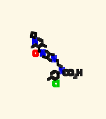 C1CCC1.Cc1ccc(N(CCCN2CC3CN(C(=O)c4c(C)ccnc4C)CC3C2)C(=O)O)cc1Cl